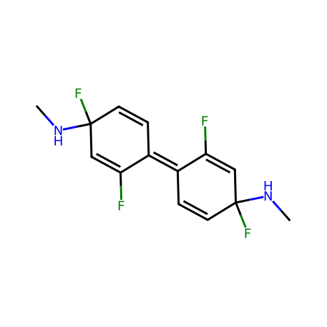 CNC1(F)C=CC(=C2C=CC(F)(NC)C=C2F)C(F)=C1